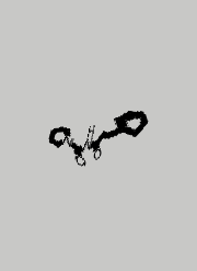 O=C(/C=C/c1ccccc1)NC(=O)N1CCCC1